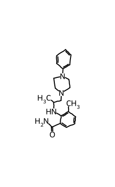 Cc1cccc(C(N)=O)c1NC(C)CN1CCN(c2ccccc2)CC1